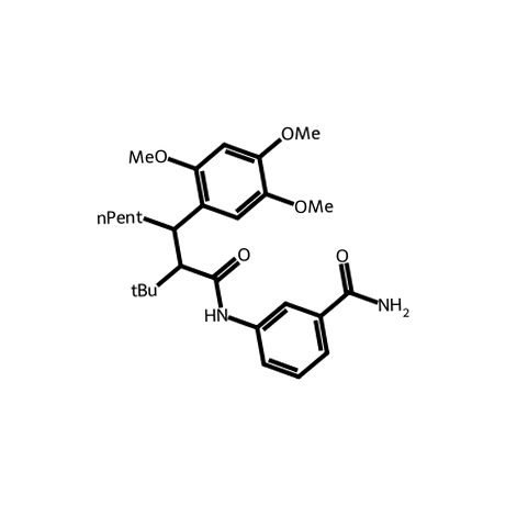 CCCCCC(c1cc(OC)c(OC)cc1OC)C(C(=O)Nc1cccc(C(N)=O)c1)C(C)(C)C